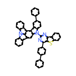 c1ccc(-c2ccc(-c3nc(-n4c5ccc(-c6ccccc6)cc5c5c6c7ccccc7n7c8ccccc8c(cc54)c67)nc4c3sc3ccccc34)cc2)cc1